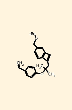 C=Cc1ccc(OC(C)(C)CC2=Cc3cc(COC(C)(C)C)ccc32)cc1